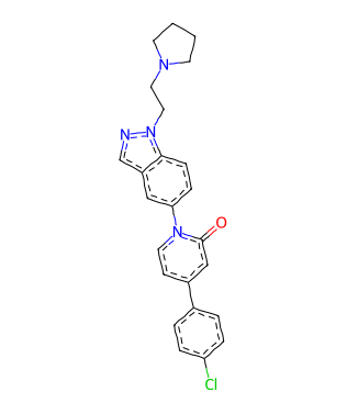 O=c1cc(-c2ccc(Cl)cc2)ccn1-c1ccc2c(cnn2CCN2CCCC2)c1